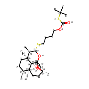 C[C@H]1[C@H](SCCCCOC(=O)SC(C)(C)C)O[C@@H]2O[C@]3(C)CC[C@H]4[C@H](C)CC[C@@H]1[C@@]24OO3